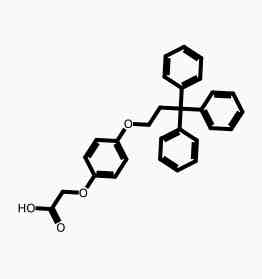 O=C(O)COc1ccc(OCCC(c2ccccc2)(c2ccccc2)c2ccccc2)cc1